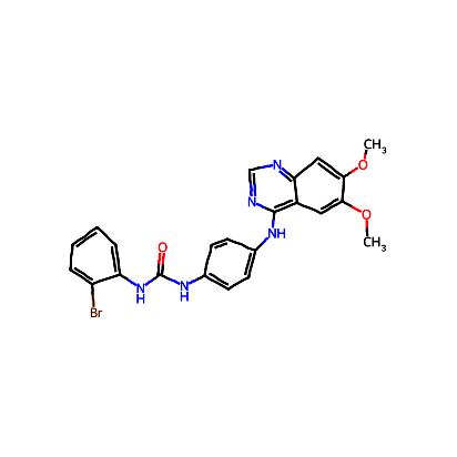 COc1cc2ncnc(Nc3ccc(NC(=O)Nc4ccccc4Br)cc3)c2cc1OC